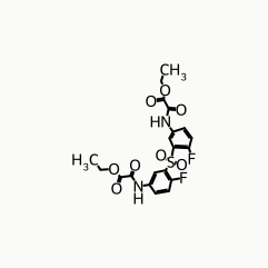 CCOC(=O)C(=O)Nc1ccc(F)c(S(=O)(=O)c2cc(NC(=O)C(=O)OCC)ccc2F)c1